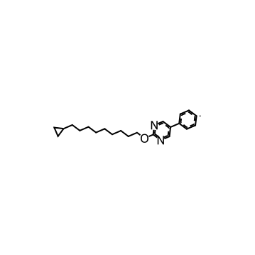 [c]1ccc(-c2cnc(OCCCCCCCCCC3CC3)nc2)cc1